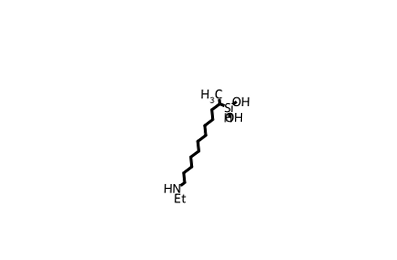 CCNCCCCCCCCCCC(C)[SiH](O)O